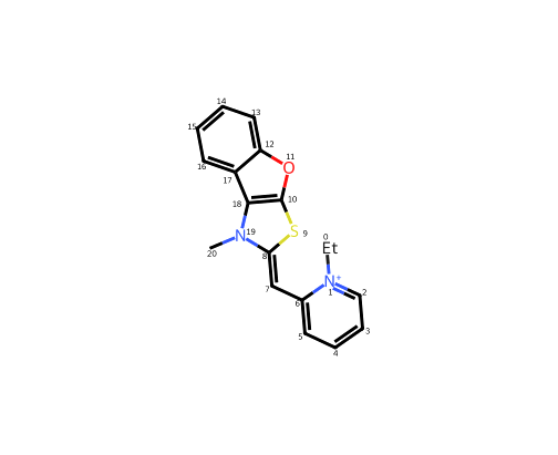 CC[n+]1ccccc1/C=C1\Sc2oc3ccccc3c2N1C